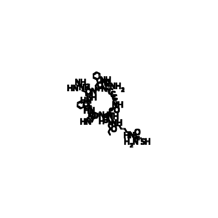 CCCC[C@H](NC(=O)CCCCCNC(=O)[C@@H](N)CS)C(=O)N[C@H]1CC(=O)NCCCC[C@@H](C(N)=O)NC(=O)[C@H](Cc2c[nH]c3ccccc23)NC(=O)[C@H](CCCNC(=N)N)NC(=O)[C@@H](Cc2ccccc2)NC(=O)[C@H](Cc2c[nH]cn2)NC1=O